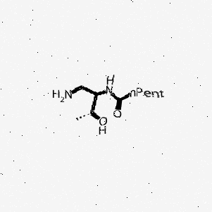 CCCCCC(=O)NC(CN)[C@@H](C)O